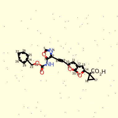 O=C(Nc1ocnc1C#Cc1cc2cc(C3(C(=O)O)CC3)oc2o1)OCc1ccccc1